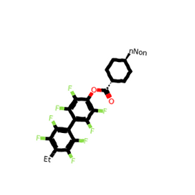 CCCCCCCCC[C@H]1CC[C@H](C(=O)Oc2c(F)c(F)c(-c3c(F)c(F)c(CC)c(F)c3F)c(F)c2F)CC1